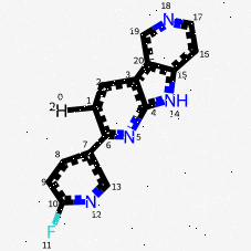 [2H]c1cc2c(nc1-c1ccc(F)nc1)[nH]c1ccncc12